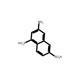 O=[N+]([O-])c1cc(S(=O)(=O)O)c2ccc(S(=O)(=O)O)cc2c1